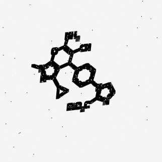 CCOC(=O)c1nccn1-c1ccc(C2C(C#N)=C(N)Oc3c2c(C2CC2)nn3C)cc1